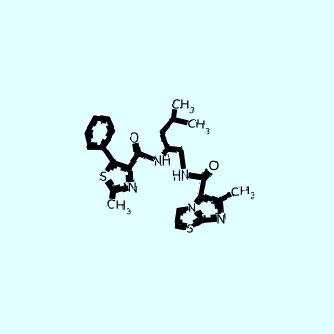 Cc1nc(C(=O)NC(CNC(=O)c2c(C)nc3sccn23)CC(C)C)c(-c2ccccc2)s1